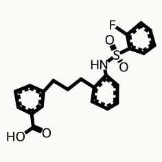 O=C(O)c1cccc(CCCc2ccccc2NS(=O)(=O)c2ccccc2F)c1